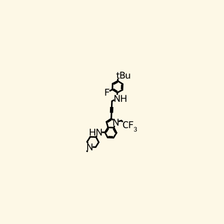 CN1CCC(Nc2cccc3c2cc(C#CCNc2ccc(C(C)(C)C)cc2F)n3CC(F)(F)F)CC1